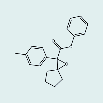 Cc1ccc(C2(C(=O)Oc3ccccc3)OC23CCCC3)cc1